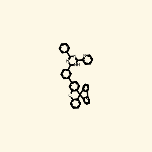 c1ccc(C2=NC(c3cccc(-c4ccc5c(c4)Oc4ccccc4C54c5ccccc5-c5ccccc54)c3)NC(c3ccccn3)=N2)cc1